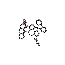 Cc1cc(C2(c3ccc(N=C=O)c(C(C)c4c5ccccc5cc5ccccc45)c3)c3ccccc3-c3ccccc32)ccc1N=C=O